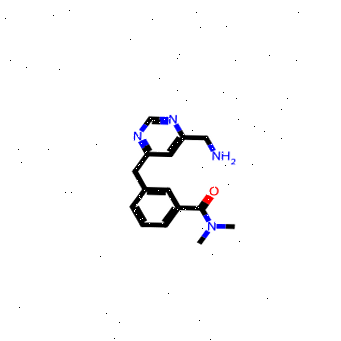 CN(C)C(=O)c1cccc(Cc2cc(CN)ncn2)c1